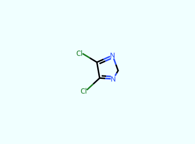 ClC1=NCN=C1Cl